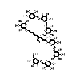 O=C/C(=C\CCCCO[C@@H]1O[C@H](CO[C@@H]2C[C@H](CO[C@@H]3O[C@H](CO[C@@H]4O[C@H](CO)[C@@H](O)[C@H](O)[C@H]4O)[C@@H](O)[C@H](O)[C@H]3O)[C@@H](O)[C@H](O)[C@H]2O)[C@@H](O)[C@H](O)[C@H]1O)CCCO[C@@H]1O[C@H](CO[C@@H]2O[C@H](CO[C@@H]3O[C@H](CO[C@@H]4O[C@H](CO)[C@@H](O)[C@H](O)[C@H]4O)[C@@H](O)[C@H](O)[C@H]3O)[C@@H](O)[C@H](O)[C@H]2O)[C@@H](O)[C@H](O)[C@H]1O